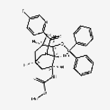 C[C@@H]1C[C@@H]2C[C@H](NC(=O)OC(C)(C)C)[C@@H]([C@@H]1O[Si](c1ccccc1)(c1ccccc1)C(C)(C)C)N(C(=O)c1ccc(F)cn1)C2